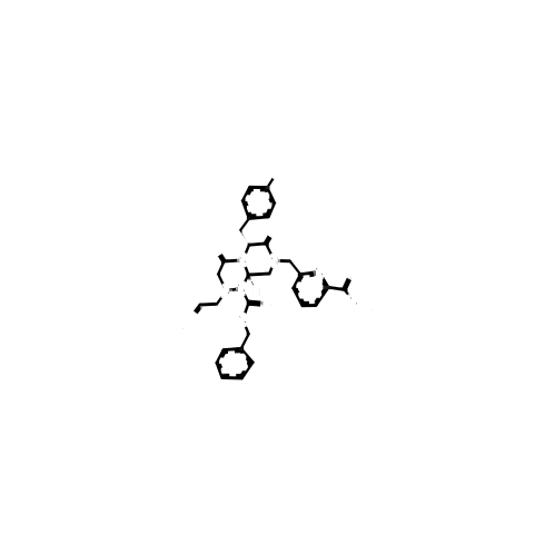 C=CCN1CC(=O)N2[C@@H](Cc3ccc(O)cc3)C(=O)N(Cc3cccc(C(N)=O)n3)C[C@@H]2N1C(=O)NCc1ccccc1